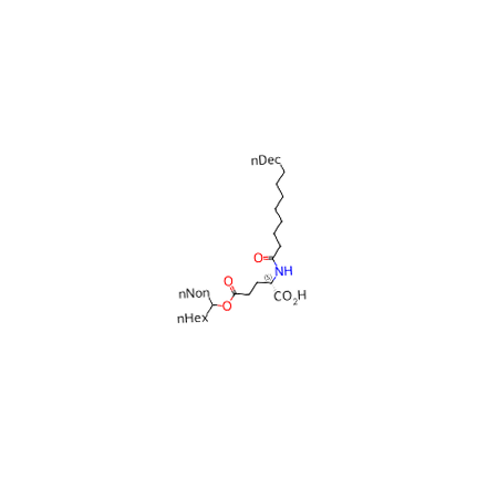 CCCCCCCCCCCCCCCCCC(=O)N[C@@H](CCC(=O)OC(CCCCCC)CCCCCCCCC)C(=O)O